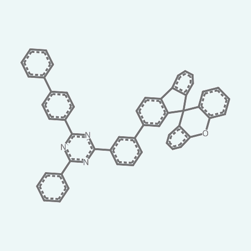 c1ccc(-c2ccc(-c3nc(-c4ccccc4)nc(-c4cccc(-c5ccc6c(c5)C5(c7ccccc7Oc7ccccc75)c5ccccc5-6)c4)n3)cc2)cc1